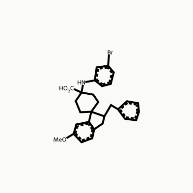 COc1ccc2c(c1)C1(CCC(Nc3cccc(Br)c3)(C(=O)O)CC1)C(Cc1ccccc1)C2